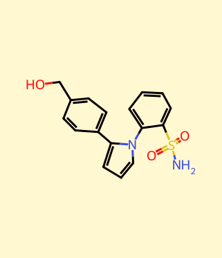 NS(=O)(=O)c1ccccc1-n1cccc1-c1ccc(CO)cc1